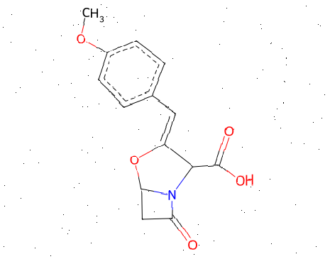 COc1ccc(C=C2OC3CC(=O)N3C2C(=O)O)cc1